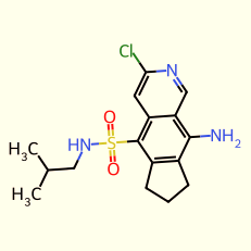 CC(C)CNS(=O)(=O)c1c2c(c(N)c3cnc(Cl)cc13)CCC2